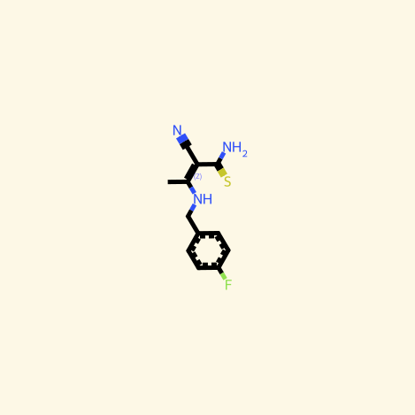 C/C(NCc1ccc(F)cc1)=C(\C#N)C(N)=S